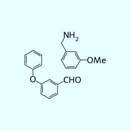 COc1cccc(CN)c1.O=Cc1cccc(Oc2ccccc2)c1